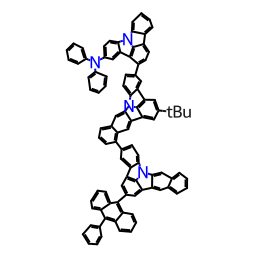 CC(C)(C)c1cc2c3cc(-c4ccc5c6ccccc6n6c7ccc(N(c8ccccc8)c8ccccc8)cc7c4c56)ccc3n3c4cc5cccc(-c6ccc7c(c6)c6cc(-c8c9ccccc9c(-c9ccccc9)c9ccccc89)cc8c9cc%10ccccc%10cc9n7c68)c5cc4c(c1)c23